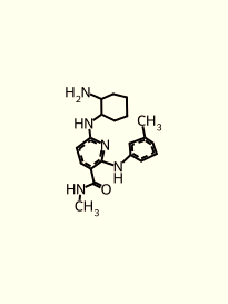 CNC(=O)c1ccc(NC2CCCCC2N)nc1Nc1cccc(C)c1